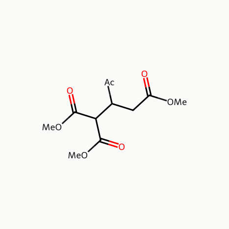 COC(=O)CC(C(C)=O)C(C(=O)OC)C(=O)OC